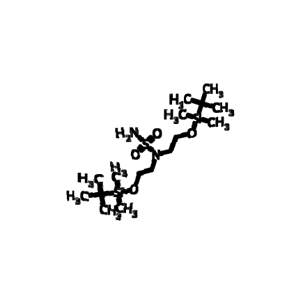 CC(C)(C)[Si](C)(C)OCCN(CCO[Si](C)(C)C(C)(C)C)S(N)(=O)=O